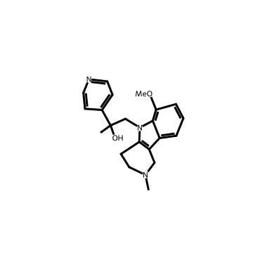 COc1cccc2c3c(n(CC(C)(O)c4ccncc4)c12)CCN(C)C3